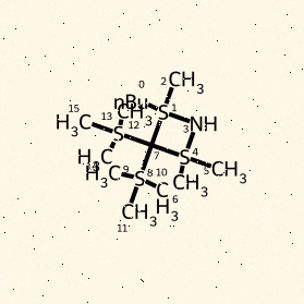 CCCCS1(C)NS(C)(C)C1(S(C)(C)C)S(C)(C)C